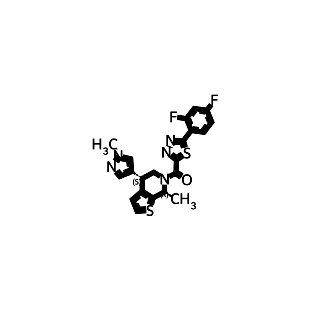 C[C@@H]1c2sccc2[C@H](c2cnn(C)c2)CN1C(=O)c1nnc(-c2ccc(F)cc2F)s1